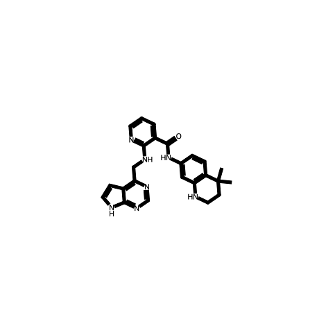 CC1(C)CCNc2cc(NC(=O)c3cccnc3NCc3ncnc4[nH]ccc34)ccc21